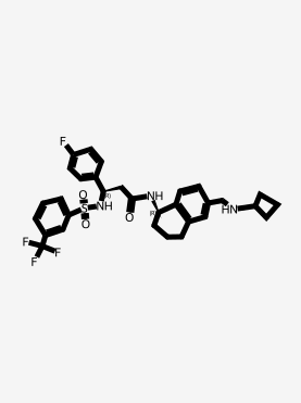 O=C(C[C@@H](NS(=O)(=O)c1cccc(C(F)(F)F)c1)c1ccc(F)cc1)N[C@@H]1CCCc2cc(CNC3CCC3)ccc21